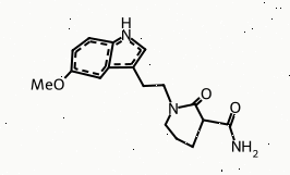 COc1ccc2[nH]cc(CCN3CCCC(C(N)=O)C3=O)c2c1